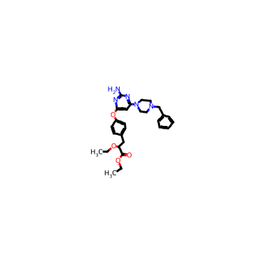 CCOC(=O)C(Cc1ccc(Oc2cc(N3CCN(Cc4ccccc4)CC3)nc(N)n2)cc1)OCC